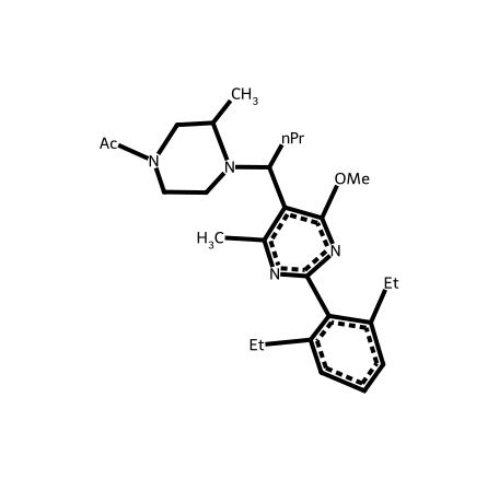 CCCC(c1c(C)nc(-c2c(CC)cccc2CC)nc1OC)N1CCN(C(C)=O)CC1C